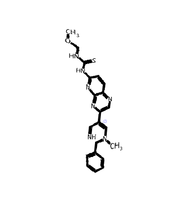 COCNC(=S)Nc1ccc2ncc(/C(C=N)=C/N(C)Cc3ccccc3)nc2n1